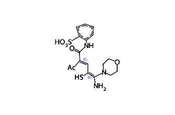 CC(=O)/C(=C\C(S)=C(\N)N1CCOCC1)C(=O)Nc1ccccc1S(=O)(=O)O